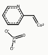 O=[PH]([O-])[O-].[Co+2]=[CH]c1ccccn1